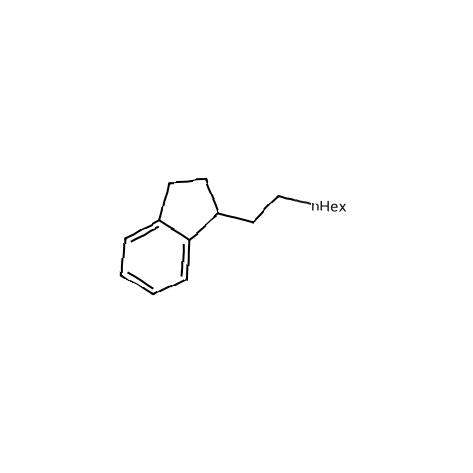 CCCCCCCCC1CCc2ccccc21